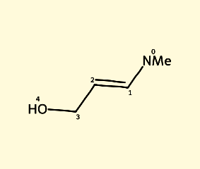 CNC=CCO